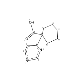 O=C(O)C1(c2ccn[c]n2)CCCCC1